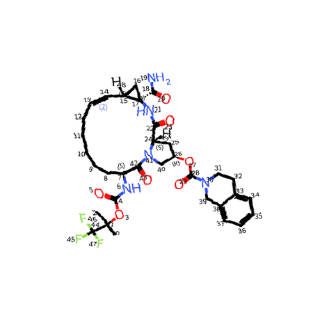 CC(C)(OC(=O)N[C@H]1CCCCC/C=C\[C@@H]2C[C@@]2(C(N)=O)NC(=O)[C@@H]2C[C@@H](OC(=O)N3CCc4ccccc4C3)CN2C1=O)C(F)(F)F